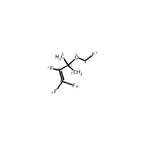 CC(C)(OCF)C(F)=C(F)F